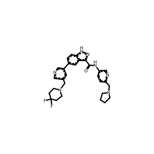 O=C(Nc1ccc(CN2CCCC2)nc1)c1n[nH]c2ccc(-c3cncc(CN4CCC(F)(F)CC4)c3)cc12